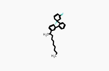 CCCCCCCCC(C)c1cccc(-c2ccccc2C2(F)C=C(F)C=CC2)c1